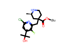 C[C@@H]1CC(Cc2nc(Cl)cc(C(C)(C)O)c2F)(C(=O)OC(C)(C)C)CCN1